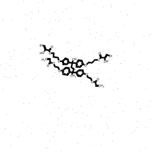 C=CC(=O)OCCOc1ccc(C(C)(CCC(C)(c2ccc(OCCCOC(=O)C(O)=CCC)cc2)c2ccc(OCCCOC(=O)C(O)=CCC)cc2)c2ccc(OCCOC(=O)C=C)cc2)cc1